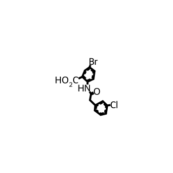 O=C(Cc1cccc(Cl)c1)Nc1ccc(Br)cc1C(=O)O